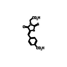 O=C(O)CN1C(=O)C(=Cc2ccc(C(=O)O)cc2)SC1=S